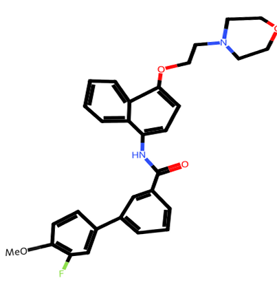 COc1ccc(-c2cccc(C(=O)Nc3ccc(OCCN4CCOCC4)c4ccccc34)c2)cc1F